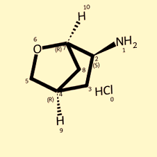 Cl.N[C@H]1C[C@H]2CO[C@@H]1C2